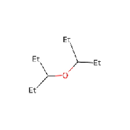 CCC(CC)OC(CC)CC